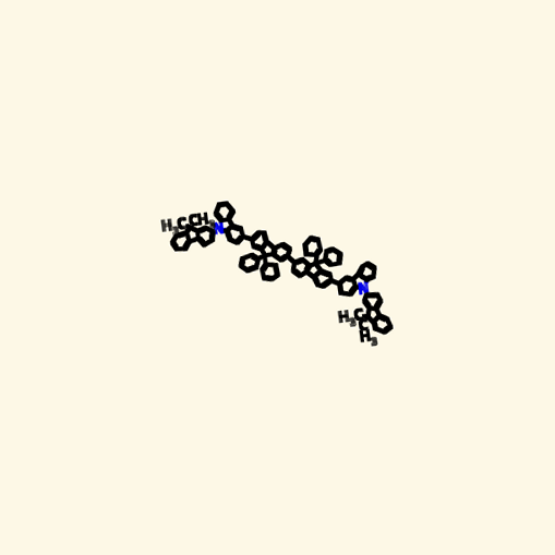 CC1(C)c2ccccc2-c2ccc(-n3c4ccccc4c4cc(-c5ccc6c(c5)C(c5ccccc5)(c5ccccc5)c5cc(-c7ccc8c(c7)C(c7ccccc7)(c7ccccc7)c7cc(-c9ccc%10c(c9)c9ccccc9n%10-c9ccc%10c(c9)C(C)(C)c9ccccc9-%10)ccc7-8)ccc5-6)ccc43)cc21